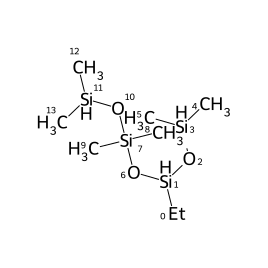 CC[SiH](O[SiH](C)C)O[Si](C)(C)O[SiH](C)C